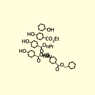 CCCCOC(=O)c1ccc(O)cc1.CCCOC(=O)c1ccc(O)cc1.CCOC(=O)c1ccc(O)cc1.O=C(OCc1ccccc1)c1ccc(O)cc1.Oc1ccccc1